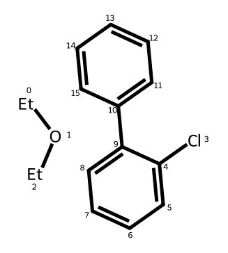 CCOCC.Clc1ccccc1-c1ccccc1